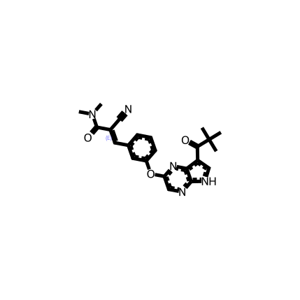 CN(C)C(=O)/C(C#N)=C/c1cccc(Oc2cnc3[nH]cc(C(=O)C(C)(C)C)c3n2)c1